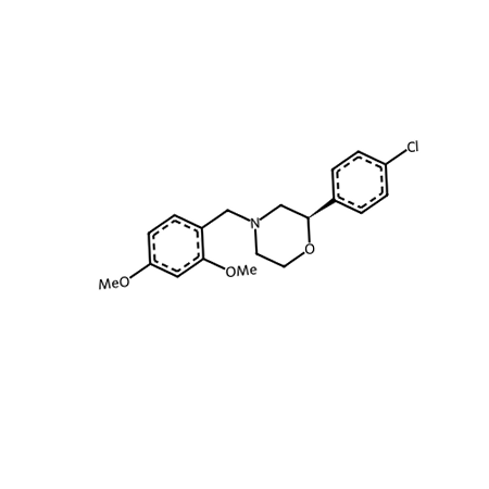 COc1ccc(CN2CCO[C@H](c3ccc(Cl)cc3)C2)c(OC)c1